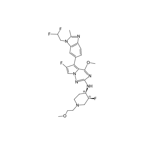 COCCN1CC[C@@H](Nc2nc(OC)c3c(-c4ccc5nc(C)n(CC(F)F)c5c4)c(F)cn3n2)[C@@H](F)C1